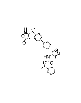 Cc1noc(-c2ccc(-c3ccc(C4(c5nc(=O)o[nH]5)CC4)cc3)cc2)c1NC(=O)O[C@H](C)c1ccccc1